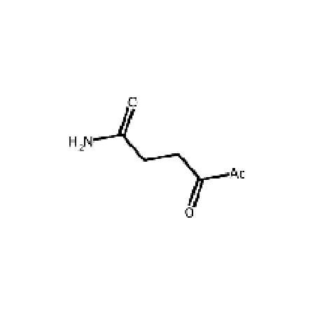 CC(=O)C(=O)CCC(N)=O